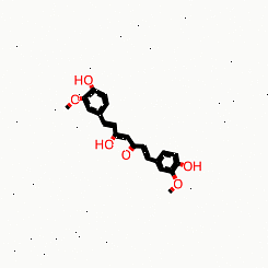 COc1cc(C=CC(=O)C=C(O)C=Cc2ccc(O)c(OC)c2)ccc1O